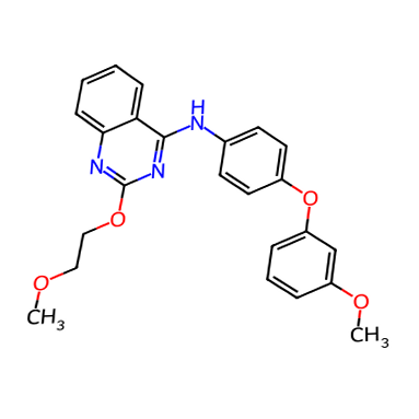 COCCOc1nc(Nc2ccc(Oc3cccc(OC)c3)cc2)c2ccccc2n1